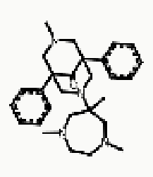 CN1CC2(c3ccccc3)CN(C3(C)CN(C)CCN(C)C3)CC(c3ccccc3)(C1)C2=O